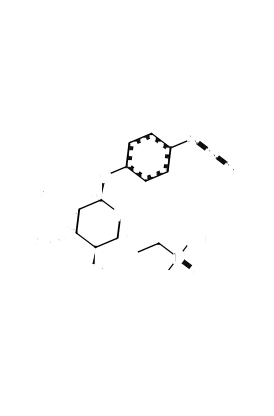 CC(=O)O[C@@H]1[C@H](OC(C)=O)[C@@H](Oc2ccc(N=[N+]=[N-])cc2)O[C@H](CCP(=O)(O)O)[C@H]1OC(C)=O